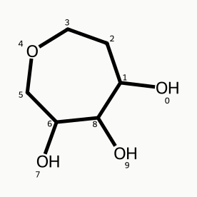 OC1CCOCC(O)C1O